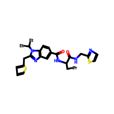 CCC(CC)n1c(Cc2cccs2)nc2cc(C(=O)NC(CC(C)C)C(=O)NCc3nccs3)ccc21